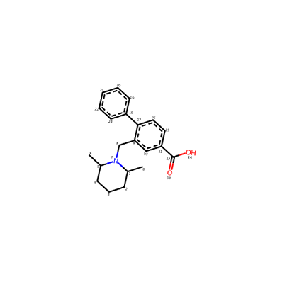 CC1CCCC(C)N1Cc1cc(C(=O)O)ccc1-c1ccccc1